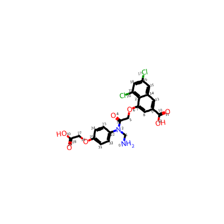 NCN(C(=O)COc1cc(C(=O)O)cc2cc(Cl)cc(Cl)c12)c1ccc(OCC(=O)O)cc1